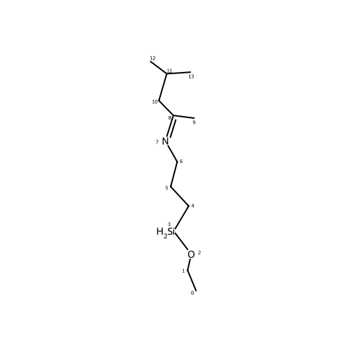 CCO[SiH2]CCC/N=C(\C)CC(C)C